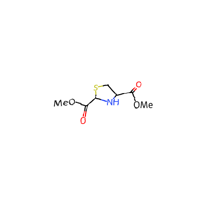 COC(=O)C1CSC(C(=O)OC)N1